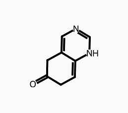 O=C1CC=C2NC=NC=C2C1